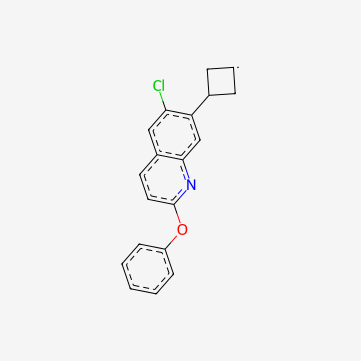 Clc1cc2ccc(Oc3ccccc3)nc2cc1C1C[CH]C1